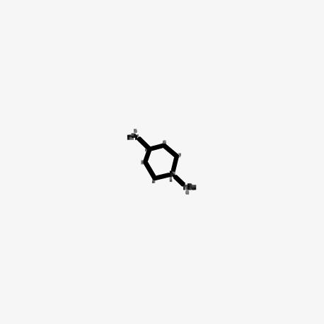 CCCCN1CCC(CCC)CC1